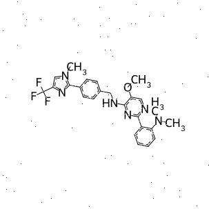 COc1cnc(-c2ccccc2N(C)C)nc1NCc1ccc(-c2nc(C(F)(F)F)cn2C)cc1